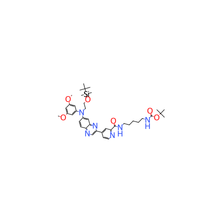 COc1cc(OC)cc(N(CCO[Si](C)(C)C(C)(C)C)c2ccc3ncc(-c4ccnc(C(=O)NCCCCCNC(=O)OC(C)(C)C)c4)nc3c2)c1